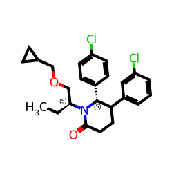 CC[C@@H](COCC1CC1)N1C(=O)CCC(c2cccc(Cl)c2)[C@H]1c1ccc(Cl)cc1